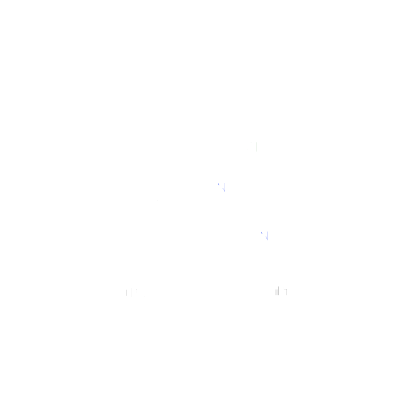 CC(C)CN1CCN(c2ccccc2C2=CCC(C(C)(C)C)CC2)CC1.Cl